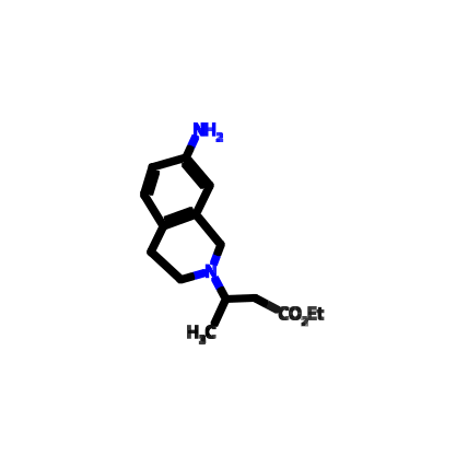 CCOC(=O)CC(C)N1CCc2ccc(N)cc2C1